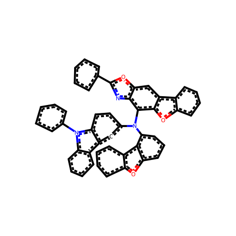 c1ccc(-c2nc3c(N(c4ccc5c(c4)c4ccccc4n5-c4ccccc4)c4cccc5oc6ccccc6c45)c4oc5ccccc5c4cc3o2)cc1